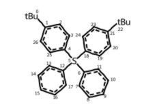 CC(C)(C)c1ccc(S(c2ccccc2)(c2ccccc2)c2ccc(C(C)(C)C)cc2)cc1